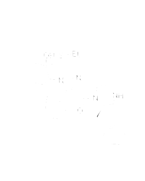 CCSCC1(O)CCCCC1n1cnc(C(=O)N2CCNC[C@H]2Cc2ccccc2)c1-c1ccccc1